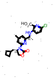 Cc1cc([C@@H](C)Nc2ccc(Cl)nc2C(=O)O)nc(N2C(=O)OC[C@@H]2CC2CCC2)c1